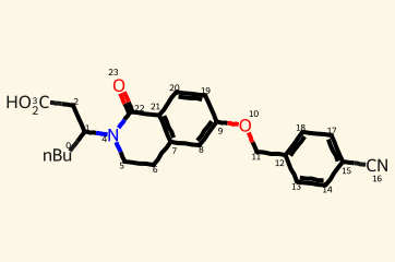 CCCCC(CC(=O)O)N1CCc2cc(OCc3ccc(C#N)cc3)ccc2C1=O